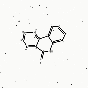 O=c1[nH]c2ccccc2c2nccnc12